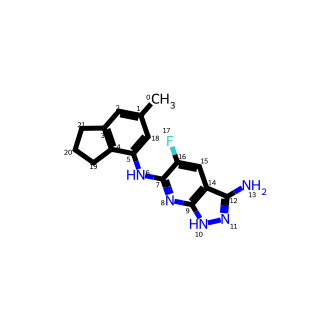 Cc1cc2c(c(Nc3nc4[nH]nc(N)c4cc3F)c1)CCC2